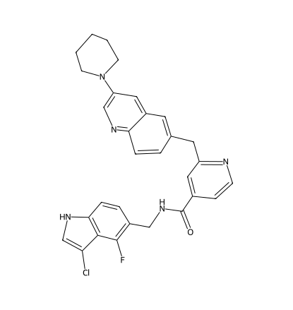 O=C(NCc1ccc2[nH]cc(Cl)c2c1F)c1ccnc(Cc2ccc3ncc(N4CCCCC4)cc3c2)c1